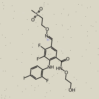 CS(=O)(=O)CCO/N=C/c1cc(C(=O)NOCCO)c(Nc2ccc(I)cc2F)c(F)c1F